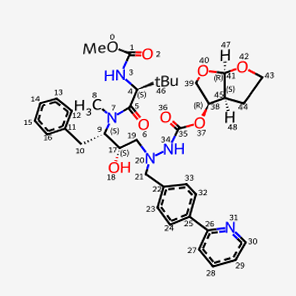 COC(=O)N[C@H](C(=O)N(C)[C@@H](Cc1ccccc1)[C@@H](O)CN(Cc1ccc(-c2ccccn2)cc1)NC(=O)O[C@H]1CO[C@H]2OCC[C@H]21)C(C)(C)C